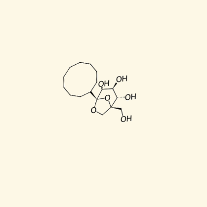 OC[C@@]12CO[C@@](C3CCCCCCCCC3)(O1)[C@@H](O)[C@@H](O)[C@@H]2O